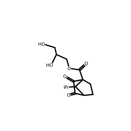 CC(C)C1C2CCC1(C(=O)OCC(O)CO)C(=O)C2=O